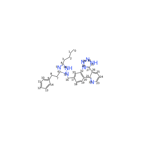 CCCCC1=NC(CCc2ccccc2)N(Cc2ccc(-c3ncccc3-c3nnn[nH]3)cc2)N1